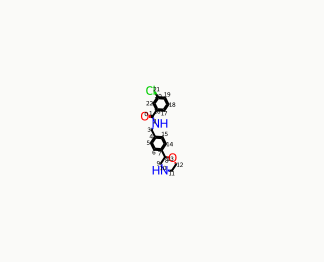 O=C(NCc1ccc(C2CNCCO2)cc1)c1cccc(Cl)c1